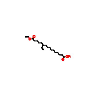 C=COC(=O)CCCCC(C=C)CCCCCCCCCC(=O)O